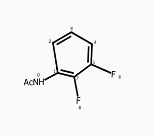 [CH2]C(=O)Nc1cccc(F)c1F